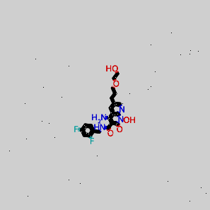 Nc1c(C(=O)NCc2ccc(F)cc2F)c(=O)n(O)c2ncc(CCCOCCO)cc12